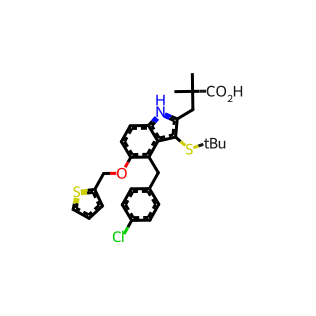 CC(C)(C)Sc1c(CC(C)(C)C(=O)O)[nH]c2ccc(OCc3cccs3)c(Cc3ccc(Cl)cc3)c12